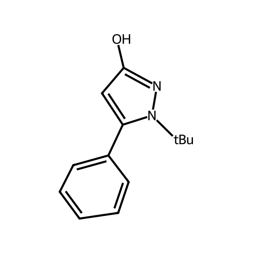 CC(C)(C)n1nc(O)cc1-c1ccccc1